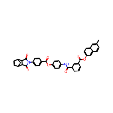 Cc1ccc2cc(OC(=O)C3=CC(C(=O)Nc4ccc(OC(=O)c5ccc(N6C(=O)C7C8C=CC(C8)C7C6=O)cc5)cc4)CC=C3)ccc2c1